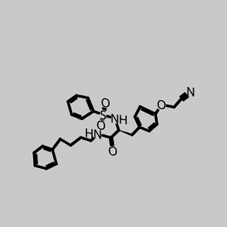 N#CCOc1ccc(C[C@H](NS(=O)(=O)c2ccccc2)C(=O)NCCCCc2ccccc2)cc1